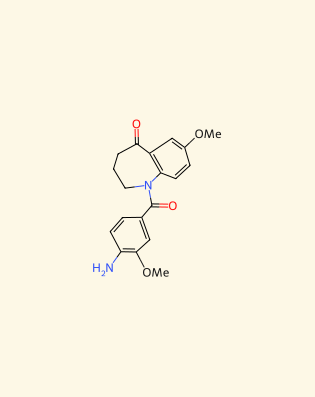 COc1ccc2c(c1)C(=O)CCCN2C(=O)c1ccc(N)c(OC)c1